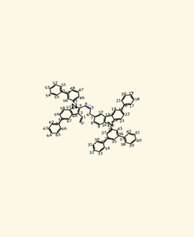 C=Cc1c(/C=C\Cc2ccc3c(c2)c2cc(-c4ccccc4)ccc2n3-c2cc(-c3ccccc3)cc(-c3ccccc3)c2)n(-c2cccc(-c3ccccc3)c2)c2ccc(-c3ccccc3)cc12